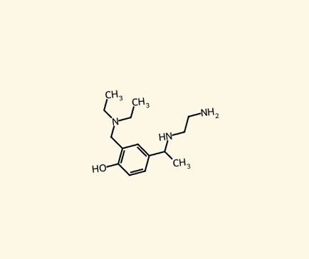 CCN(CC)Cc1cc(C(C)NCCN)ccc1O